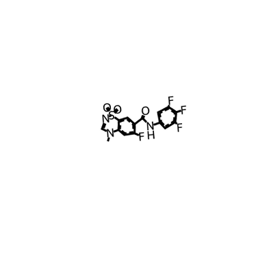 CN1C=NS(=O)(=O)c2cc(C(=O)Nc3cc(F)c(F)c(F)c3)c(F)cc21